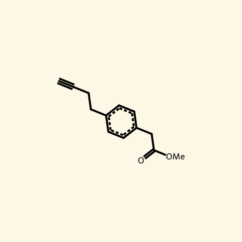 C#CCCc1ccc(CC(=O)OC)cc1